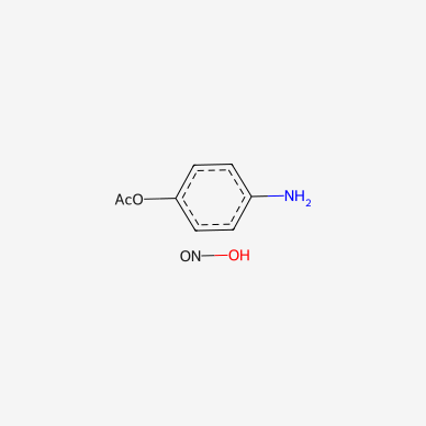 CC(=O)Oc1ccc(N)cc1.O=NO